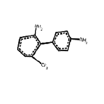 Nc1ccc(-c2c(N)cccc2C(F)(F)F)cc1